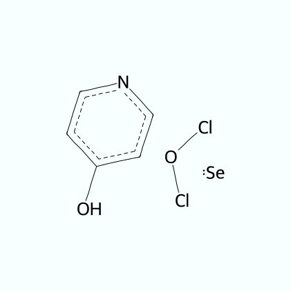 ClOCl.Oc1ccncc1.[Se]